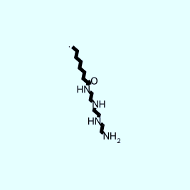 [CH2]CCCCCCC(=O)NCCNCCNCCN